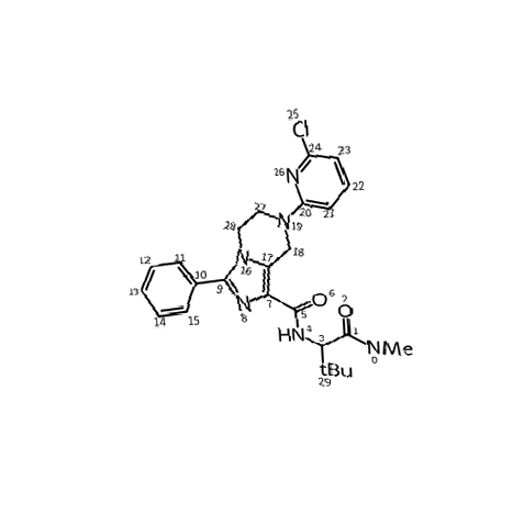 CNC(=O)C(NC(=O)c1nc(-c2ccccc2)n2c1CN(c1cccc(Cl)n1)CC2)C(C)(C)C